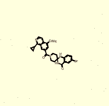 COc1cc(C(=O)N2CCC3(CC2)NC(=O)c2cc(Br)ccc2N3)cc2c(C3CC3)nccc12